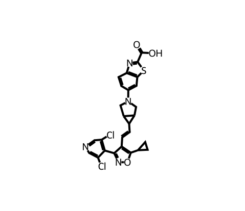 O=C(O)c1nc2ccc(N3CC4C(C=Cc5c(-c6c(Cl)cncc6Cl)noc5C5CC5)C4C3)cc2s1